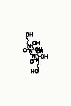 O=C1N(CCCO)C(O)C(O)N1CN1C(=O)N(CCCO)C(O)C1O